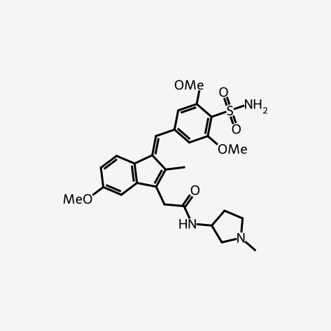 COc1ccc2c(c1)C(CC(=O)NC1CCN(C)C1)=C(C)C2=Cc1cc(OC)c(S(N)(=O)=O)c(OC)c1